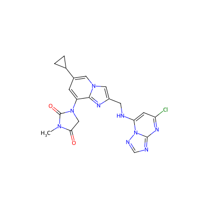 CN1C(=O)CN(c2cc(C3CC3)cn3cc(CNc4cc(Cl)nc5ncnn45)nc23)C1=O